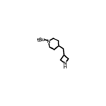 CC(C)(C)N1CCC(CC2CNC2)CC1